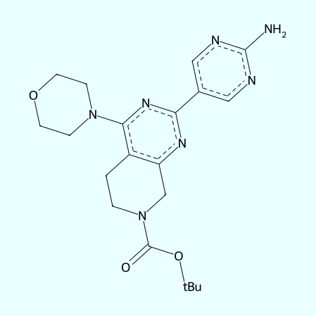 CC(C)(C)OC(=O)N1CCc2c(nc(-c3cnc(N)nc3)nc2N2CCOCC2)C1